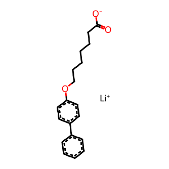 O=C([O-])CCCCCCOc1ccc(-c2ccccc2)cc1.[Li+]